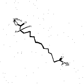 CCCCOC(=O)CCCCCCCCCCCC(C(=O)OCCCC)(C(C)C)C(C)C